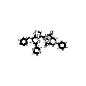 CC(C)C[C@H](NC(=O)[C@H](Cc1ccccc1)NC(=O)c1cnccn1)B1OC(=O)[C@H]2CN(c3ccccc3)C[C@H](C(=O)O1)N2C